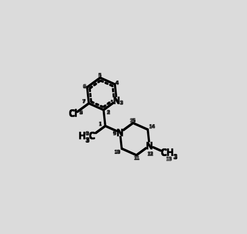 CC(c1ncccc1Cl)N1CCN(C)CC1